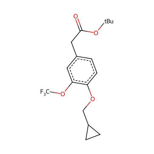 CC(C)(C)OC(=O)Cc1ccc(OCC2CC2)c(OC(F)(F)F)c1